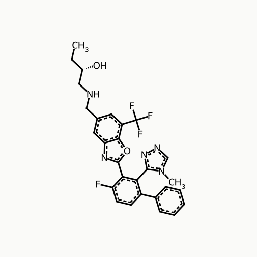 CC[C@H](O)CNCc1cc(C(F)(F)F)c2oc(-c3c(F)ccc(-c4ccccc4)c3-c3nncn3C)nc2c1